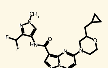 Cn1cc(NC(=O)c2cnn3ccc(N4CCOC(CC5CC5)C4)nc23)c(C(F)F)n1